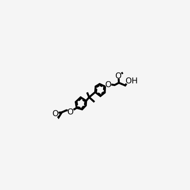 COC(CO)COc1ccc(C(C)(C)c2ccc(OCC3CO3)cc2)cc1